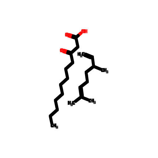 C=CC(C)CCC=C(C)C.CCCCCCCCCC(=O)CC(=O)O